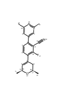 Cc1cc(-c2ccc(C3=C[C@H](C)O[C@H](C)C3)c(F)c2C#N)cc(C)n1